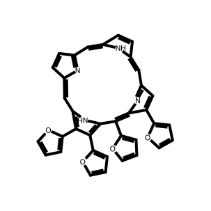 C1=Cc2cc3[nH]c(c(-c4ccco4)c4nc(cc5ccc(cc1n2)[nH]5)C=C4c1ccco1)c(-c1ccco1)c3-c1ccco1